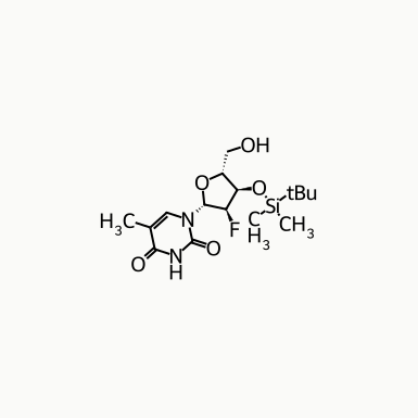 Cc1cn([C@@H]2O[C@H](CO)[C@@H](O[Si](C)(C)C(C)(C)C)[C@H]2F)c(=O)[nH]c1=O